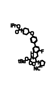 CC(C)OC(=O)N1CCC(Oc2ccc(-c3ccc(CC(NC(=O)OC(C)(C)C)C(=O)N4CCC[C@H]4C#N)c(F)c3)cc2)CC1